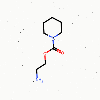 NCCOC(=O)N1CCCCC1